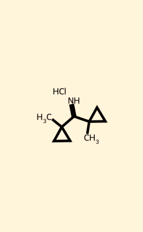 CC1(C(=N)C2(C)CC2)CC1.Cl